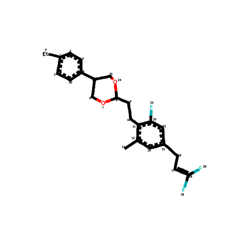 CCc1ccc(C2COC(CCc3c(C)cc(CC=C(F)F)cc3F)OC2)cc1